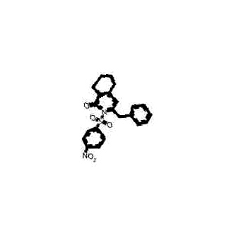 O=c1c2c(cc(Cc3ccccc3)n1S(=O)(=O)c1ccc([N+](=O)[O-])cc1)CCCC2